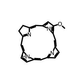 COc1cc2cc3nc(cc4ccc(cc5nc(cc1[nH]2)C=C5)[nH]4)CC3